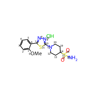 COc1ccccc1-c1nnc(N2CCC(S(N)(=O)=O)CC2)s1.Cl